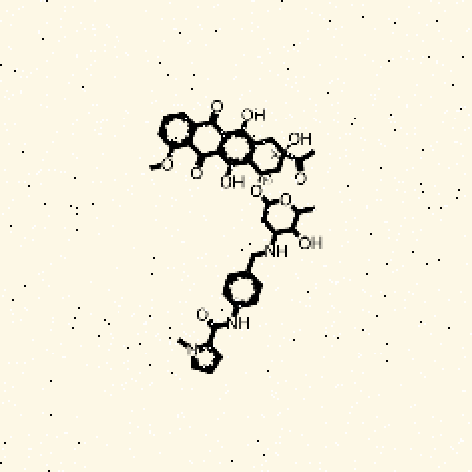 COc1cccc2c1C(=O)c1c(O)c3c(c(O)c1C2=O)C[C@@](O)(C(C)=O)C[C@@H]3OC1CC(NCc2ccc(NC(=O)c3cccn3C)cc2)C(O)C(C)O1